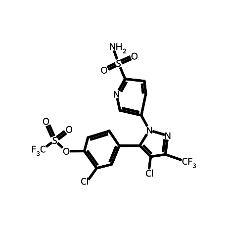 NS(=O)(=O)c1ccc(-n2nc(C(F)(F)F)c(Cl)c2-c2ccc(OS(=O)(=O)C(F)(F)F)c(Cl)c2)cn1